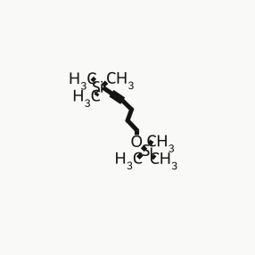 C[Si](C)(C)C#CCCCO[Si](C)(C)C